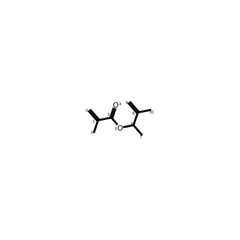 C=C(C)C(=O)OC(C)C(=C)C